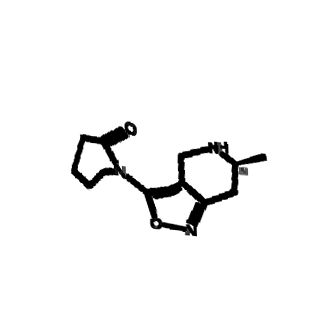 C[C@H]1Cc2noc(N3CCCC3=O)c2CN1